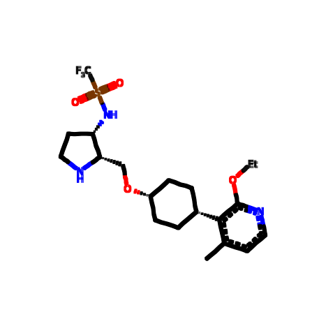 CCOc1nccc(C)c1[C@H]1CC[C@@H](OC[C@@H]2NCC[C@@H]2NS(=O)(=O)C(F)(F)F)CC1